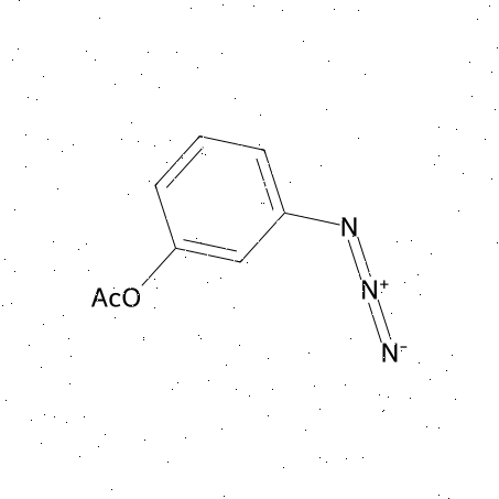 CC(=O)Oc1cccc(N=[N+]=[N-])c1